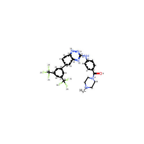 CN1CCN(C(=O)c2ccc(Nc3nnc4ccc(-c5cc(C(F)(F)F)cc(C(F)(F)F)c5)cc4n3)cc2)CC1